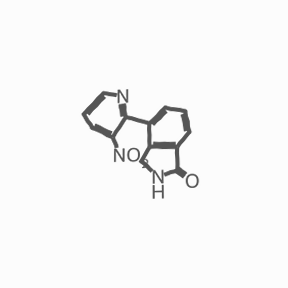 O=C1NCc2c1cccc2-c1ncccc1[N+](=O)[O-]